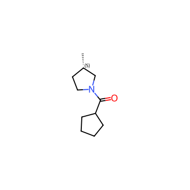 C[C@H]1CCN(C(=O)C2CCCC2)C1